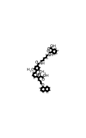 Cc1cc(C(=O)NCCCCCNC(=O)c2ccccc2C(=O)O)cc(C)c1-c1cccc2c(CCCOc3cccc4ccccc34)c(C(=O)O)nn12